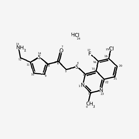 Cc1nc(SCC(=O)c2ccc(CN)s2)c2c(F)c(Cl)ccc2n1.Cl